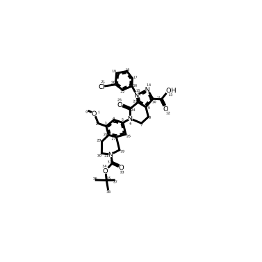 COCc1cc(N2CCc3c(C(=O)O)nn(-c4cccc(Cl)c4)c3C2=O)cc2c1CCN(C(=O)OC(C)(C)C)C2